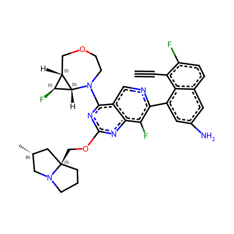 C#Cc1c(F)ccc2cc(N)cc(-c3ncc4c(N5CCOC[C@H]6[C@H](F)[C@H]65)nc(OC[C@@]56CCCN5C[C@H](C)C6)nc4c3F)c12